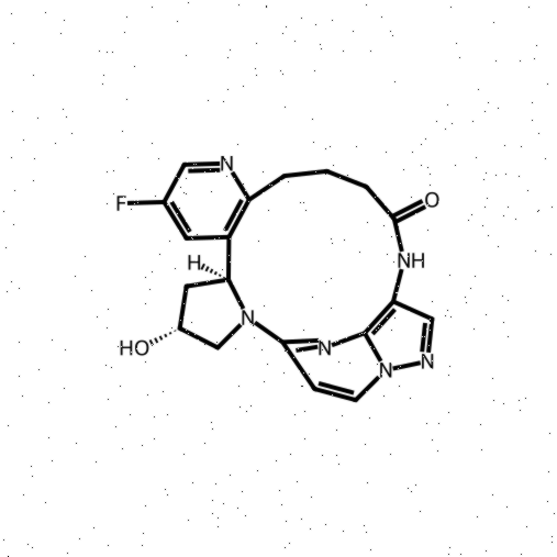 O=C1CCCc2ncc(F)cc2[C@@H]2C[C@@H](O)CN2c2ccn3ncc(c3n2)N1